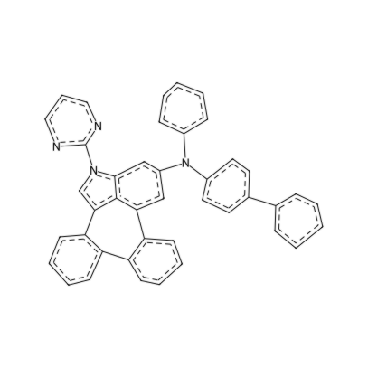 c1ccc(-c2ccc(N(c3ccccc3)c3cc4c5c(cn(-c6ncccn6)c5c3)-c3ccccc3-c3ccccc3-4)cc2)cc1